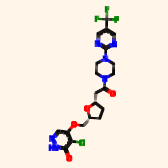 O=C(C[C@@H]1CC[C@H](COc2cn[nH]c(=O)c2Cl)O1)N1CCN(c2ncc(C(F)(F)F)cn2)CC1